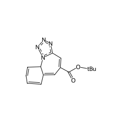 CC(C)(C)OC(=O)C1=Cc2nnnn2C2C=CC=CC2=C1